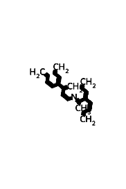 C=CC=C(/C=C\C=C)/C(C)=N/C=C\C(=C)C(/C=C\C=C)=C/C=C